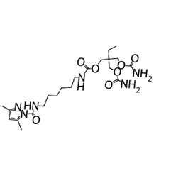 CCC(COC(N)=O)(COC(N)=O)COC(=O)NCCCCCCNC(=O)n1nc(C)cc1C